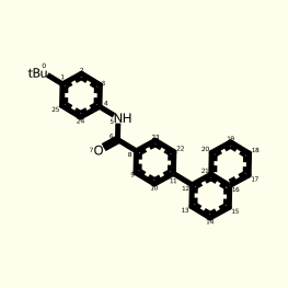 CC(C)(C)c1ccc(NC(=O)c2ccc(-c3cccc4ccccc34)cc2)cc1